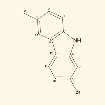 Cc1ccc2[nH]c3cc(Br)ccc3c2c1